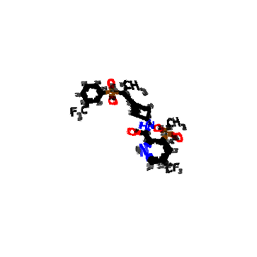 C[C@H](C1CC(NC(=O)c2ncc(C(F)(F)F)cc2S(C)(=O)=O)C1)S(=O)(=O)c1cccc(C(F)(F)F)c1